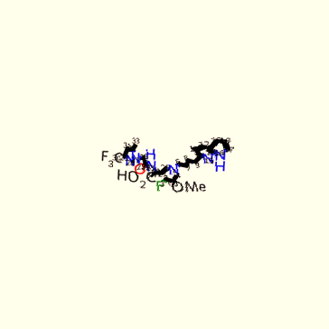 CO[C@H](CF)CN(CCCCc1ccc2c(n1)NCCC2)CC[C@H](NC(=O)Cn1nc(C(F)(F)F)cc1C)C(=O)O